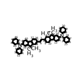 CC1(C)c2cc(/C=C/C3=CC=C4c5ccc(N(C6=CCCC=C6)c6ccccc6)cc5C(C)(C)C4C3)ccc2-c2ccc(N(c3ccccc3)c3ccccc3)cc21